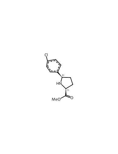 COC(=O)[C@@H]1CC[C@H](c2ccc(Cl)cc2)N1